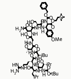 CC[C@H](C)C(NC(=O)[C@@H](CCCNC(=N)N)NC(=O)[C@H](CC(C)C)NC(=O)[C@@H](NC(=O)OC(C)(C)C)[C@H](O)C(C)C)C(=O)N[C@H](C(=O)NCC(=O)N[C@H](C(=O)N[C@@H](CO)C(=O)N[C@@H](c1ccc(OC)cc1)[C@@H](NC(=O)OCc1ccccc1)C(=O)OCC[Si](C)(C)C)[C@H](O)C(N)=O)[C@H](C)O